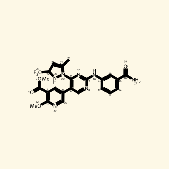 COC(=O)c1cc(-c2cnc(Nc3cccc(C(N)=O)c3)nc2N2NC(C(F)(F)F)C=C2C)cnc1OC